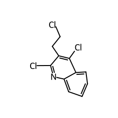 ClCCc1c(Cl)nc2ccccc2c1Cl